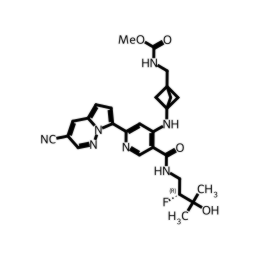 COC(=O)NCC12CC(Nc3cc(-c4ccc5cc(C#N)cnn45)ncc3C(=O)NC[C@@H](F)C(C)(C)O)(C1)C2